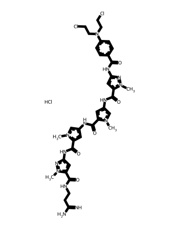 Cl.Cn1cc(NC(=O)c2cc(NC(=O)c3ccc(N(CCCl)CCCl)cc3)nn2C)cc1C(=O)Nc1cc(C(=O)Nc2cc(C(=O)NCCC(=N)N)n(C)n2)n(C)c1